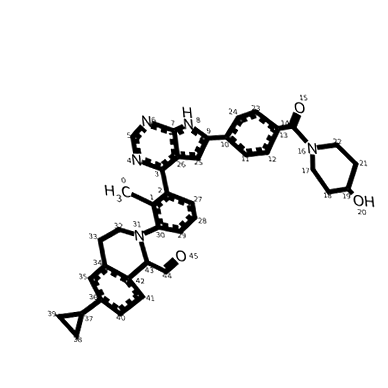 Cc1c(-c2ncnc3[nH]c(-c4ccc(C(=O)N5CCC(O)CC5)cc4)cc23)cccc1N1CCc2cc(C3CC3)ccc2C1C=O